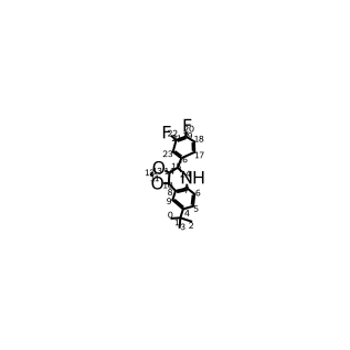 CC(C)(C)c1ccc2c(c1)C1OCOC1C(c1ccc(F)c(F)c1)N2